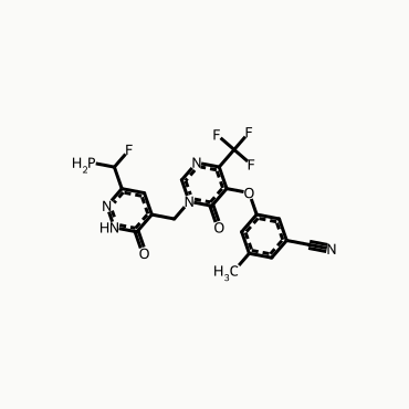 Cc1cc(C#N)cc(Oc2c(C(F)(F)F)ncn(Cc3cc(C(F)P)n[nH]c3=O)c2=O)c1